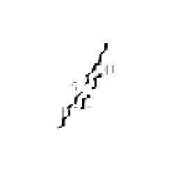 CCCCCCC[CH2][Sn][CH2]CCCCCCC.O=C(O)CCSCCC(=O)O